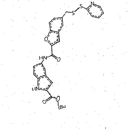 CC(C)(C)OC(=O)c1cc2cc(NC(=O)c3cc4cc(CSSc5ccccn5)ccc4o3)ccc2[nH]1